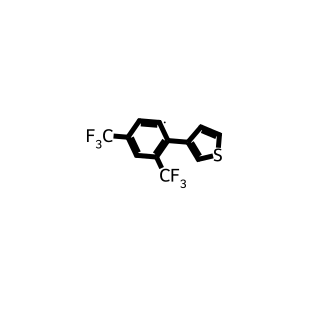 FC(F)(F)c1c[c]c(-c2ccsc2)c(C(F)(F)F)c1